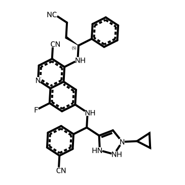 N#CCC[C@H](Nc1c(C#N)cnc2c(F)cc(NC(C3=CN(C4CC4)NN3)c3cccc(C#N)c3)cc12)c1ccccc1